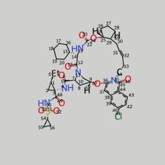 CC[C@@H]1C[C@]1(NC(=O)[C@@H]1C[C@@H]2CN1C(=O)[C@H](C1CCCCC1)NC(=O)O[C@@H]1CCC[C@H]1C/C=C/CCn1c(cc3cc(Cl)ccc3c1=O)O2)C(=O)NS(=O)(=O)C1CC1